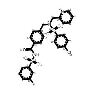 O=C(NS(=O)(=O)c1cccc(F)c1)c1ccc(CN(Cc2ccccn2)S(=O)(=O)c2ccc(Cl)cc2)cc1